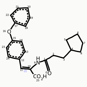 O=C(CCC1CCCC1)N/C(=C\c1ccc(Oc2ccccc2)cc1)C(=O)O